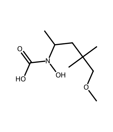 COCC(C)(C)CC(C)N(O)C(=O)O